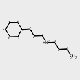 CCCCNCCCC1CCCCC1